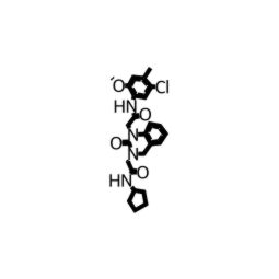 COc1cc(C)c(Cl)cc1NC(=O)CN1C(=O)N(CC(=O)NC2CCCC2)Cc2ccccc21